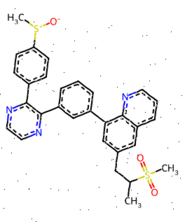 CC(Cc1cc(-c2cccc(-c3nccnc3-c3ccc([S+](C)[O-])cc3)c2)c2ncccc2c1)S(C)(=O)=O